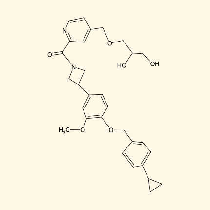 COc1cc(C2CN(C(=O)c3cc(COCC(O)CO)ccn3)C2)ccc1OCc1ccc(C2CC2)cc1